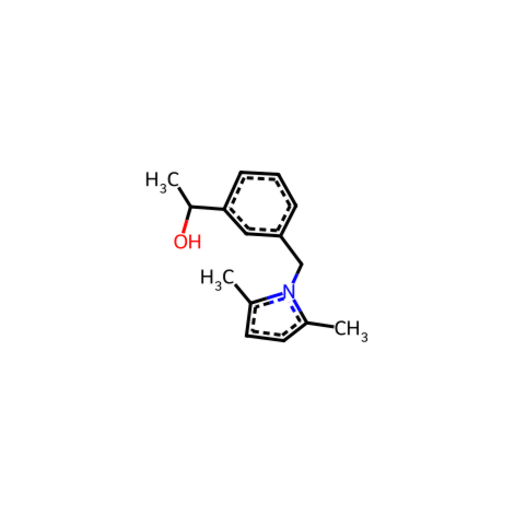 Cc1ccc(C)n1Cc1cccc(C(C)O)c1